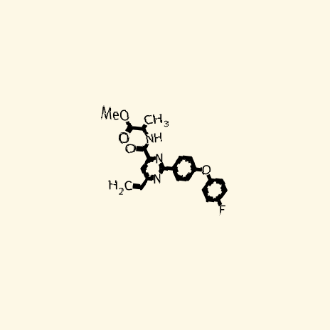 C=Cc1cc(C(=O)NC(C)C(=O)OC)nc(-c2ccc(Oc3ccc(F)cc3)cc2)n1